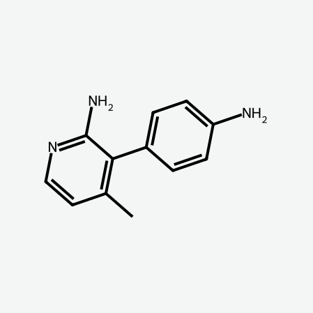 Cc1ccnc(N)c1-c1ccc(N)cc1